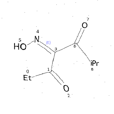 CCC(=O)/C(=N\O)C(=O)C(C)C